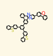 c1ccc2c(c1)oc1ccc(-c3ccn4c(c3)nc3c5ccccc5c5cc(-c6cc(-c7ccc8c(c7)sc7ccccc78)cc(-c7ccc8sc9ccccc9c8c7)c6)ccc5c34)cc12